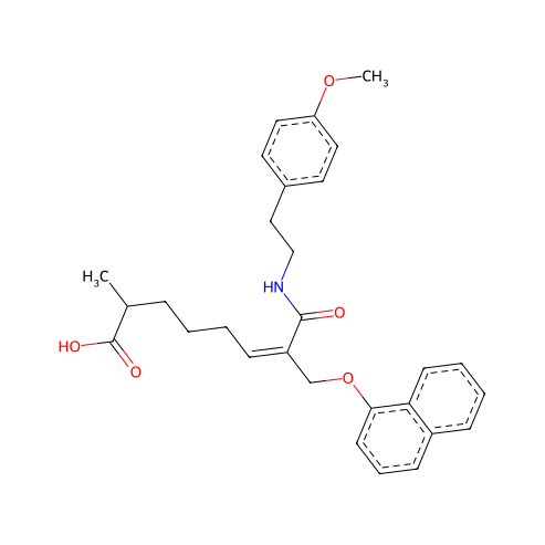 COc1ccc(CCNC(=O)C(=CCCCC(C)C(=O)O)COc2cccc3ccccc23)cc1